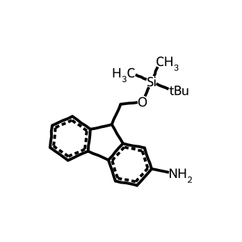 CC(C)(C)[Si](C)(C)OCC1c2ccccc2-c2ccc(N)cc21